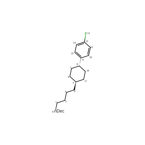 CCCCCCCCCCCCCC[C@H]1CC[C@H](c2ccc(F)cc2)CC1